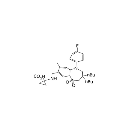 CCCCC1(CCCC)CN(c2ccc(F)cc2)c2cc(C)c(CNC3(C(=O)O)CC3)cc2S(=O)(=O)C1